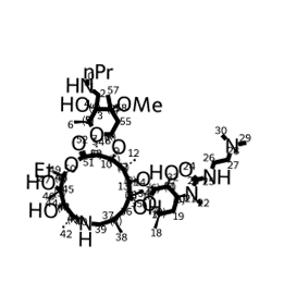 CCCNC[C@]1(O)[C@H](C)O[C@@H](O[C@H]2[C@H](C)[C@@H](O[C@@H]3O[C@H](C)C[C@H](N(C)C(=O)NCCN(C)C)[C@H]3O)[C@](C)(O)C[C@@H](C)CN[C@H](C)[C@@H](O)[C@](C)(O)[C@@H](CC)OC(=O)[C@@H]2C)C[C@@]1(C)OC